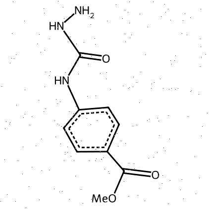 COC(=O)c1ccc(NC(=O)NN)cc1